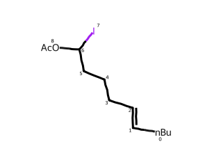 CCCCC=CCCCC(I)OC(C)=O